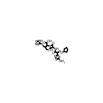 Nc1nc(C(=NOC2CCCC2)C(=O)NC2C(=O)N3C(C(=O)O)=C(CSc4nnn[nH]4)CS[C@@H]23)ns1